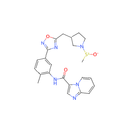 Cc1ccc(-c2noc(CC3CCN([S+](C)[O-])C3)n2)cc1NC(=O)c1cnc2ccccn12